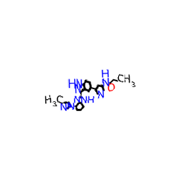 CCCC(=O)Nc1cncc(-c2ccc3[nH]nc(-c4nc5c(-n6cnc(C)c6)cccc5[nH]4)c3c2)c1